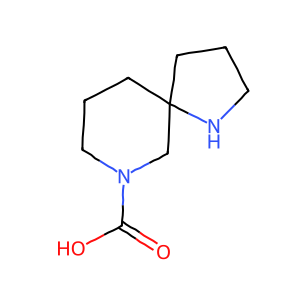 O=C(O)N1CCCC2(CCCN2)C1